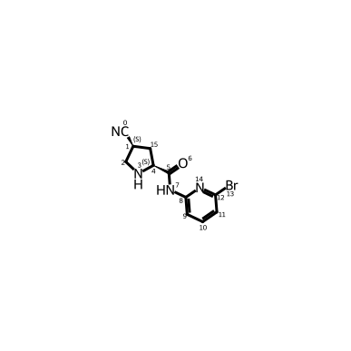 N#C[C@@H]1CN[C@H](C(=O)Nc2cccc(Br)n2)C1